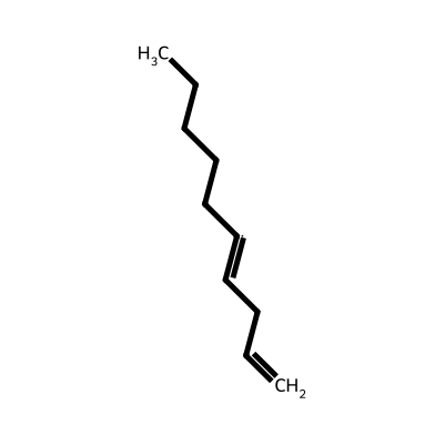 C=CC/C=[C]/CCCCC